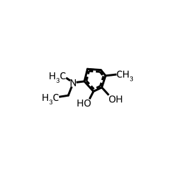 CCN(C)c1ccc(C)c(O)c1O